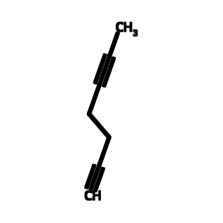 C#CCCC#CC